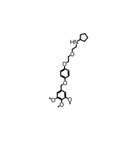 COc1cc(COc2ccc(OCCOCCNC3CCCC3)cc2)cc(OC)c1OC